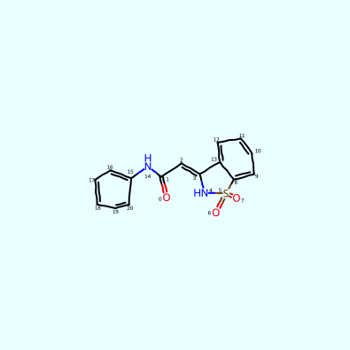 O=C(C=C1NS(=O)(=O)c2ccccc21)Nc1ccccc1